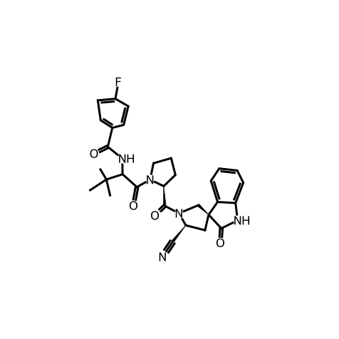 CC(C)(C)C(NC(=O)c1ccc(F)cc1)C(=O)N1CCC[C@H]1C(=O)N1C[C@]2(C[C@H]1C#N)C(=O)Nc1ccccc12